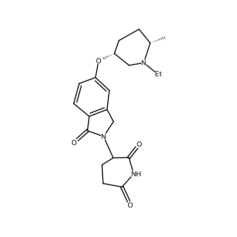 CCN1C[C@H](Oc2ccc3c(c2)CN(C2CCC(=O)NC2=O)C3=O)CC[C@@H]1C